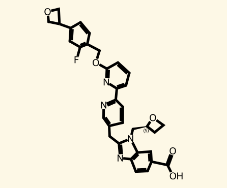 O=C(O)c1ccc2nc(Cc3ccc(-c4cccc(OCc5ccc(C6COC6)cc5F)n4)nc3)n(C[C@@H]3CCO3)c2c1